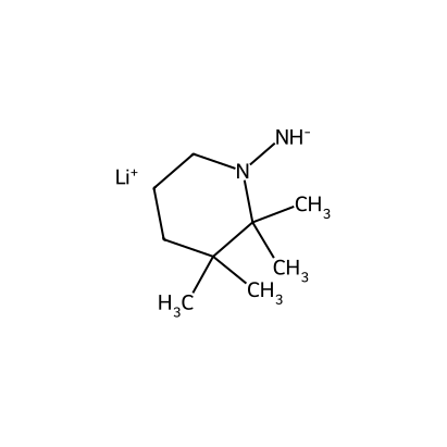 CC1(C)CCCN([NH-])C1(C)C.[Li+]